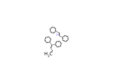 C(=C\c1ccccc1)/c1ccccc1.C=CC=C(c1ccccc1)c1ccccc1